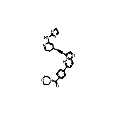 O=C(c1ccc(-c2ccc3ncc(C#CC4C=C(Nc5nccs5)N=CC4)n3n2)cc1)N1CCOCC1